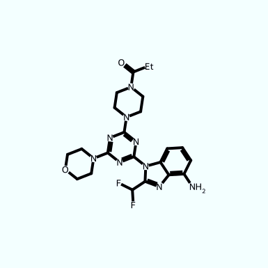 CCC(=O)N1CCN(c2nc(N3CCOCC3)nc(-n3c(C(F)F)nc4c(N)cccc43)n2)CC1